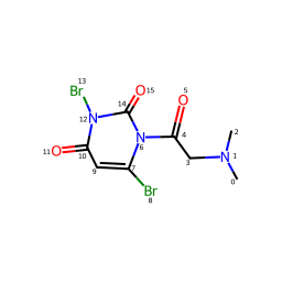 CN(C)CC(=O)n1c(Br)cc(=O)n(Br)c1=O